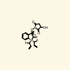 C=C[CH](F)[Sn]([c]1ccccc1C(=O)ON1C(=O)CC(O)C1=O)([CH](F)C=C)[CH](F)C=C